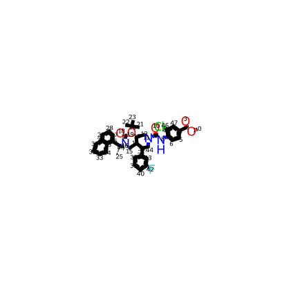 COC(=O)c1ccc(NC(=O)N2CCC(CN(C(=O)OC(C)(C)C)[C@H](C)c3cccc4ccccc34)C(c3cccc(F)c3)C2)c(Cl)c1